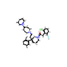 Cc1ccc(C)c([C@@]2(CCN3CCC(N4CCCCC4)CC3)CCCN(C(=O)Cc3c(F)cccc3Cl)C2)c1